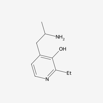 CCc1nccc(CC(C)N)c1O